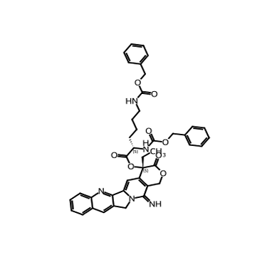 CC[C@@]1(OC(=O)[C@H](CCCCNC(=O)OCc2ccccc2)NC(=O)OCc2ccccc2)C(=O)OCc2c1cc1n(c2=N)Cc2cc3ccccc3nc2-1